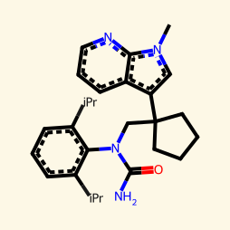 CC(C)c1cccc(C(C)C)c1N(CC1(c2cn(C)c3ncccc23)CCCC1)C(N)=O